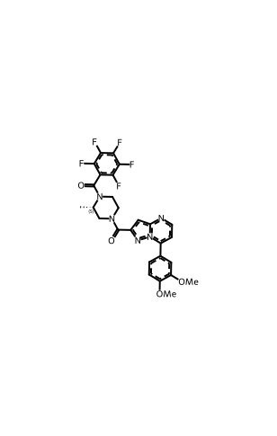 COc1ccc(-c2ccnc3cc(C(=O)N4CCN(C(=O)c5c(F)c(F)c(F)c(F)c5F)[C@@H](C)C4)nn23)cc1OC